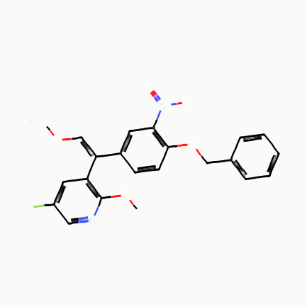 CO/C=C(/c1ccc(OCc2ccccc2)c([N+](=O)[O-])c1)c1cc(F)cnc1OC